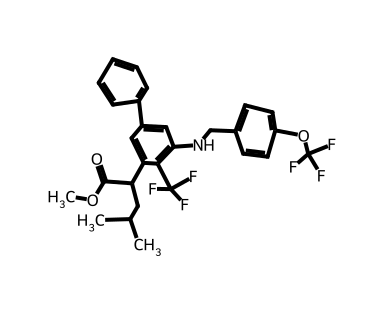 COC(=O)C(CC(C)C)c1cc(-c2ccccc2)cc(NCc2ccc(OC(F)(F)F)cc2)c1C(F)(F)F